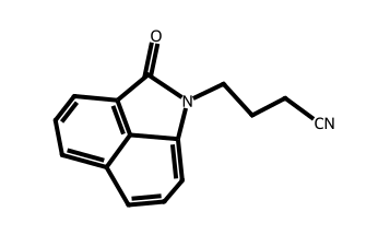 N#CCCCN1C(=O)c2cccc3cccc1c23